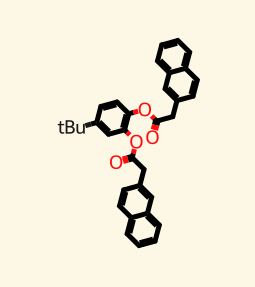 CC(C)(C)c1ccc(OC(=O)Cc2ccc3ccccc3c2)c(OC(=O)Cc2ccc3ccccc3c2)c1